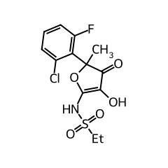 CCS(=O)(=O)NC1=C(O)C(=O)C(C)(c2c(F)cccc2Cl)O1